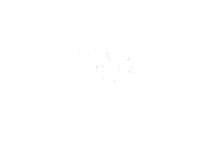 O=c1c2[nH]cnc2n(CC2CCCC2)c(=O)n1CC1CCCC1